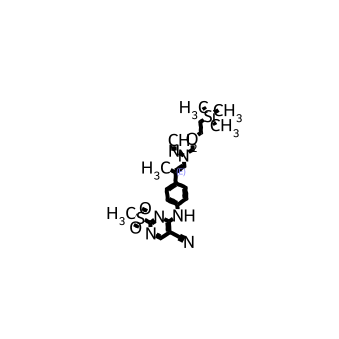 C=NN(/C=C(\C)c1ccc(Nc2nc(S(C)(=O)=O)ncc2C#N)cc1)COCC[Si](C)(C)C